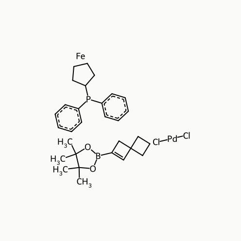 CC1(C)OB(C2=CC3(CCC3)C2)OC1(C)C.[Cl][Pd][Cl].[Fe].c1ccc(P(c2ccccc2)C2CCCC2)cc1